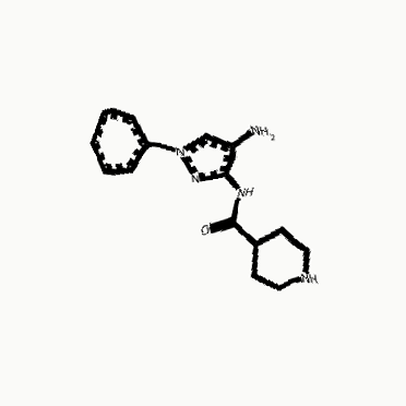 Nc1cn(-c2ccccc2)nc1NC(=O)C1CCNCC1